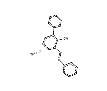 Oc1c(C=Nc2ccccc2)cccc1-c1ccccc1.[Cl-].[Cl-].[Ti+2]